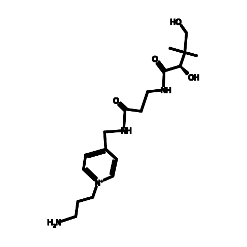 CC(C)(CO)[C@@H](O)C(=O)NCCC(=O)NCc1cc[n+](CCCN)cc1